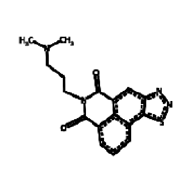 CN(C)CCCN1C(=O)c2cccc3c2c(cc2nnsc23)C1=O